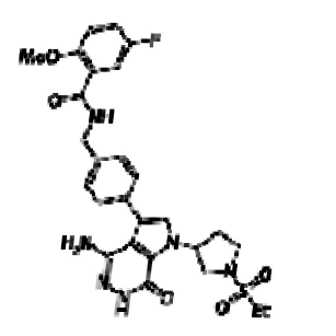 CCS(=O)(=O)N1CCC(n2cc(-c3ccc(CNC(=O)c4cc(F)ccc4OC)cc3)c3c(N)n[nH]c(=O)c32)C1